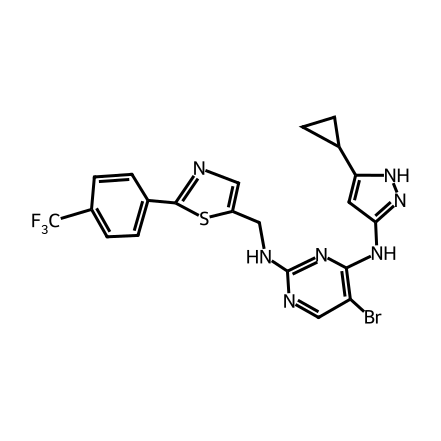 FC(F)(F)c1ccc(-c2ncc(CNc3ncc(Br)c(Nc4cc(C5CC5)[nH]n4)n3)s2)cc1